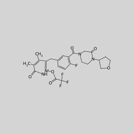 Cc1c(C)c(=O)[nH][n+](OC(=O)C(F)(F)F)c1Cc1ccc(F)c(C(=O)N2CCN(C3CCOC3)C(=O)C2)c1